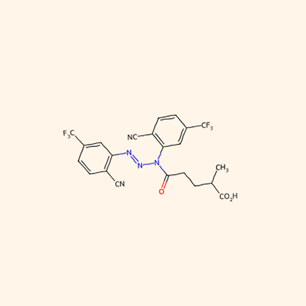 CC(CCC(=O)N(N=Nc1cc(C(F)(F)F)ccc1C#N)c1cc(C(F)(F)F)ccc1C#N)C(=O)O